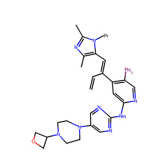 C=C/C(=C\c1c(C)nc(C)n1C(C)C)c1cc(Nc2ncc(N3CCN(C4COC4)CC3)cn2)ncc1P